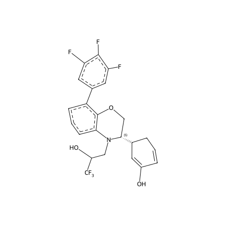 OC1=CC([C@H]2COc3c(-c4cc(F)c(F)c(F)c4)cccc3N2CC(O)C(F)(F)F)CC=C1